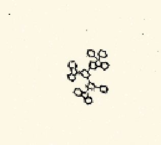 c1ccc(-c2cc(-c3cc(-c4ccc5c(c4)-c4ccccc4C5(c4ccccc4)c4ccccc4)cc(-n4c5ccccc5c5ccccc54)c3)nc(-n3c4ccccc4c4ccccc43)n2)cc1